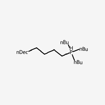 CCCCCCCCCCCCCC[PH](CCCC)(CCCC)CCCC